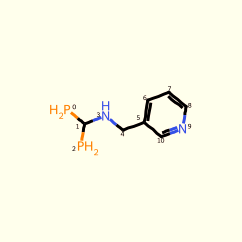 PC(P)NCc1cccnc1